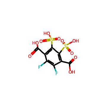 O=C(O)c1c(F)c(F)c(C(=O)O)c(S(=O)(=O)O)c1S(=O)(=O)O